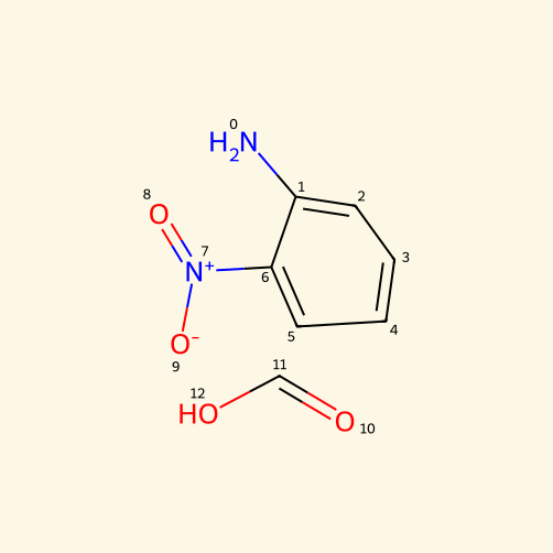 Nc1ccccc1[N+](=O)[O-].O=CO